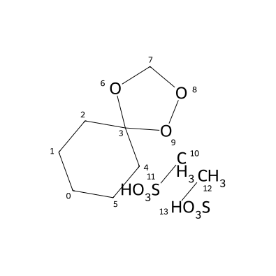 C1CCC2(CC1)OCOO2.CS(=O)(=O)O.CS(=O)(=O)O